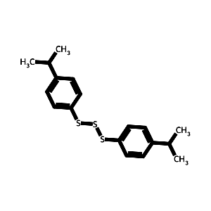 CC(C)c1ccc(SSSc2ccc(C(C)C)cc2)cc1